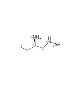 CC[C@@H](N)CBS